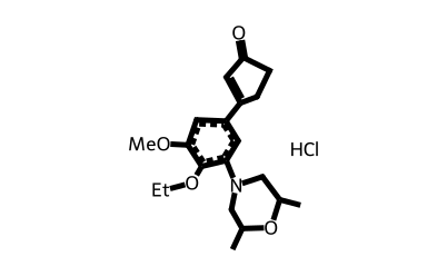 CCOc1c(OC)cc(C2=CC(=O)CC2)cc1N1CC(C)OC(C)C1.Cl